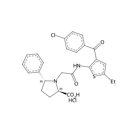 CCc1cc(C(=O)c2ccc(Cl)cc2)c(NC(=O)CN2[C@@H](C(=O)O)CC[C@@H]2c2ccccc2)s1.Cl